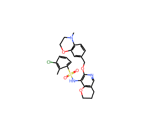 Cc1c(Cl)cccc1S(=O)(=O)Nc1c(OCc2ccc3c(c2)OCCN3C)ncc2c1OCCC2